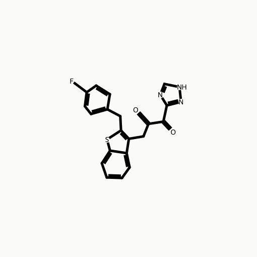 O=C(Cc1c(Cc2ccc(F)cc2)sc2ccccc12)C(=O)c1nc[nH]n1